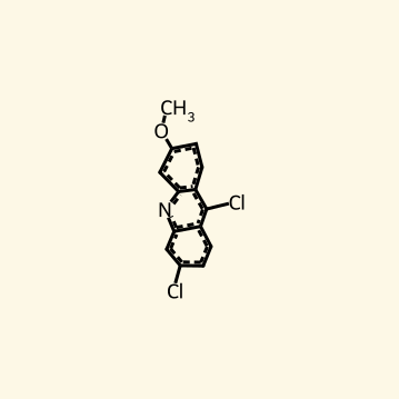 COc1ccc2c(Cl)c3ccc(Cl)cc3nc2c1